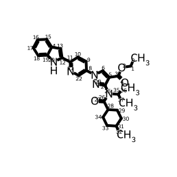 CCOC(=O)c1cn(-c2ccc(-c3cc4ccccc4[nH]3)nc2)nc1N(C(=O)C1CCC(C)CC1)C(C)C